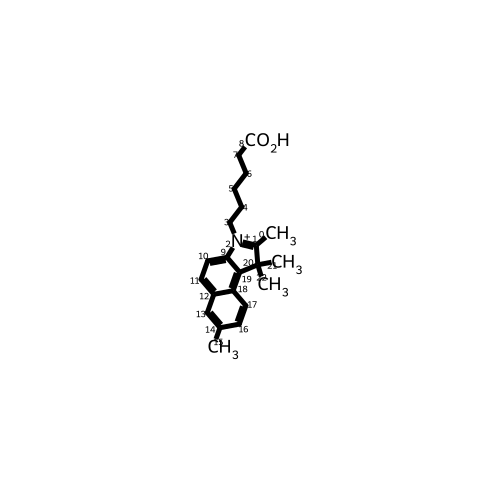 CC1=[N+](CCCCCC(=O)O)c2ccc3cc(C)ccc3c2C1(C)C